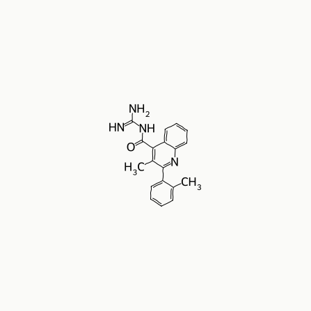 Cc1ccccc1-c1nc2ccccc2c(C(=O)NC(=N)N)c1C